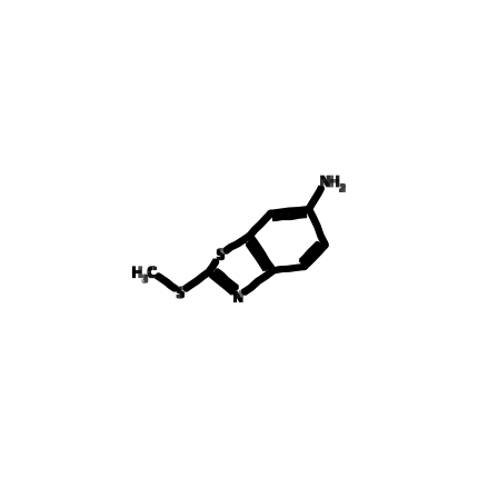 CSc1nc2ccc(N)cc2s1